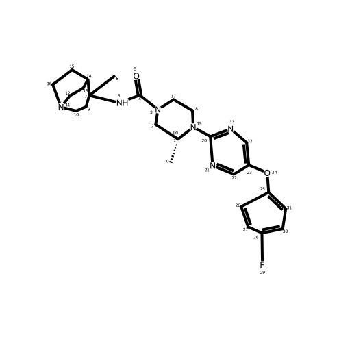 C[C@@H]1CN(C(=O)NC2(C)CCN3CCC2CC3)CCN1c1ncc(Oc2ccc(F)cc2)cn1